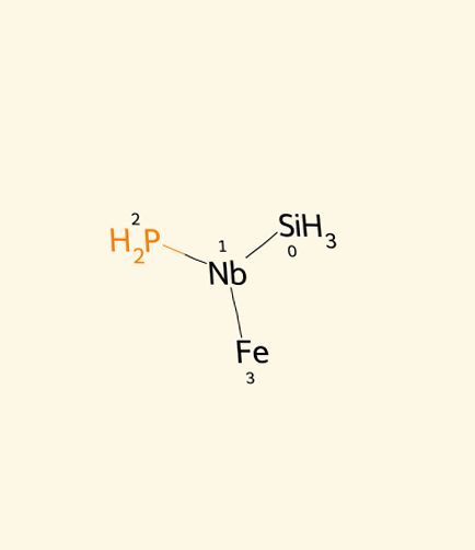 [SiH3][Nb]([PH2])[Fe]